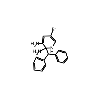 NC1=CC(Br)=CNC1(N)C(c1ccccc1)c1ccccc1